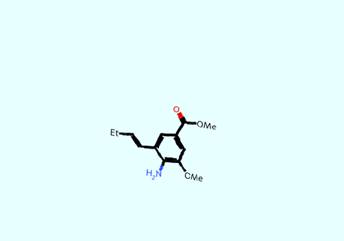 CCC=Cc1cc(C(=O)OC)cc(OC)c1N